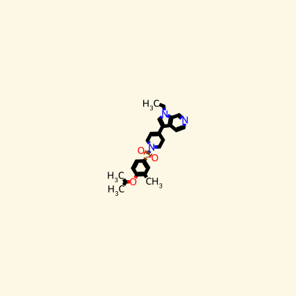 CCn1cc(C2=CCN(S(=O)(=O)c3ccc(OC(C)C)c(C)c3)CC2)c2ccncc21